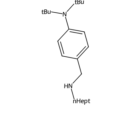 CCCCCCCNCc1ccc(N(C(C)(C)C)C(C)(C)C)cc1